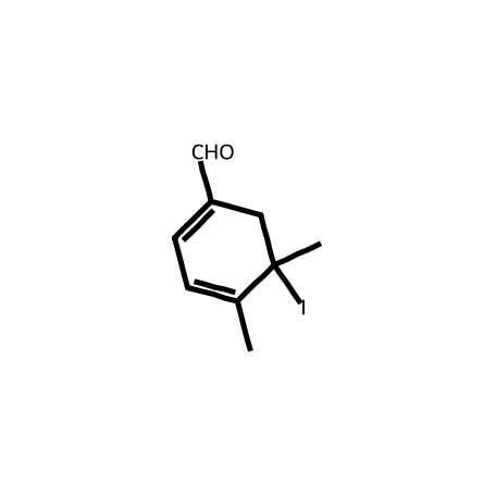 CC1=CC=C(C=O)CC1(C)I